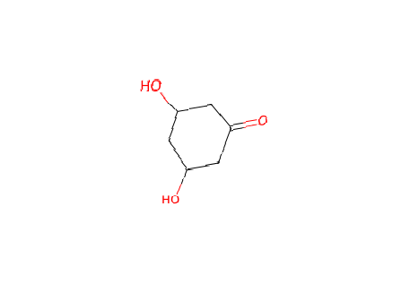 O=C1CC(O)CC(O)C1